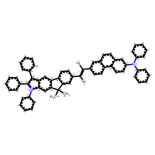 [2H]/C(=C(/[2H])c1ccc2c(ccc3cc(N(c4ccccc4)c4ccccc4)ccc32)c1)c1ccc2c(c1)C(C)(C)c1cc3c(cc1-2)c(-c1ccccc1)c(-c1ccccc1)n3-c1ccccc1